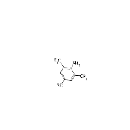 N#Cc1cc(C(F)(F)F)c(N)c(C(F)(F)F)c1